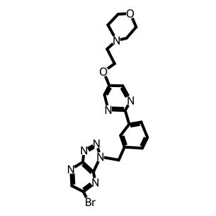 Brc1cnc2nnn(Cc3cccc(-c4ncc(OCCN5CCOCC5)cn4)c3)c2n1